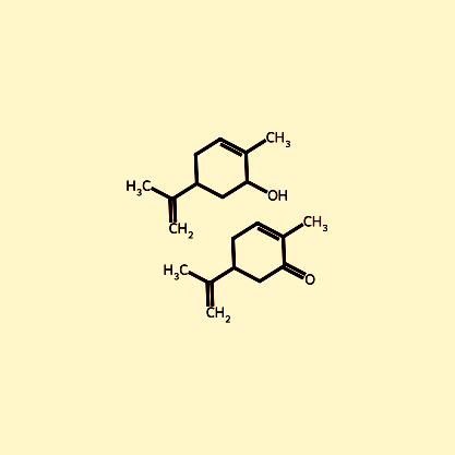 C=C(C)C1CC=C(C)C(=O)C1.C=C(C)C1CC=C(C)C(O)C1